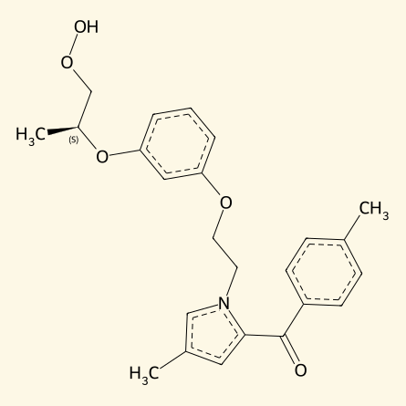 Cc1ccc(C(=O)c2cc(C)cn2CCOc2cccc(O[C@@H](C)COO)c2)cc1